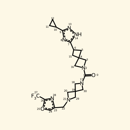 O=C(N1CC2(CC(c3nc(C4CC4)n[nH]3)C2)C1)N1CC2(CN(Cc3coc(C(F)(F)F)n3)C2)C1